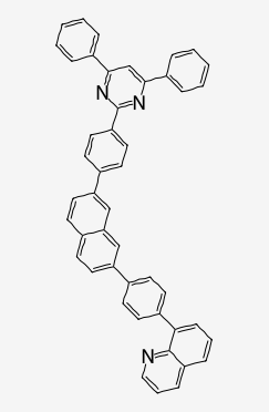 c1ccc(-c2cc(-c3ccccc3)nc(-c3ccc(-c4ccc5ccc(-c6ccc(-c7cccc8cccnc78)cc6)cc5c4)cc3)n2)cc1